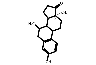 CC1Cc2cc(O)ccc2C2CC[C@]3(C)C(=O)CCC3C12